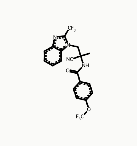 CC(C#N)(Cn1c(C(F)(F)F)nc2ccccc21)NC(=O)c1ccc(OC(F)(F)F)cc1